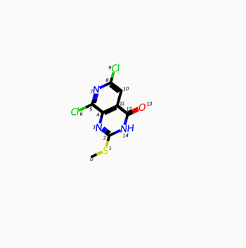 CSc1nc2c(Cl)nc(Cl)cc2c(=O)[nH]1